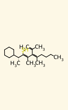 C=C(C)C(/C(C)=C(\S)[C@H](C)C1CCCCC1)=C(/C)CCCC